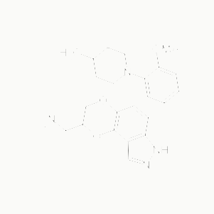 COc1ccccc1N1CCC(C)CC1.NCC1COc2ccc3[nH]ncc3c2O1